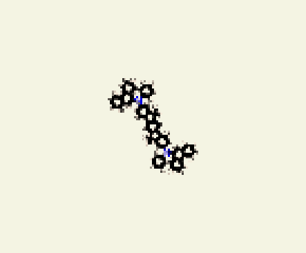 CC1(C)c2cc(N(c3ccccc3)c3cc4ccccc4c4ccccc34)ccc2-c2cc3c(cc21)-c1ccc(N(c2ccccc2)c2cc4ccccc4c4ccccc24)cc1C3(C)C